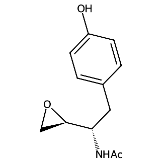 CC(=O)N[C@@H](Cc1ccc(O)cc1)[C@H]1CO1